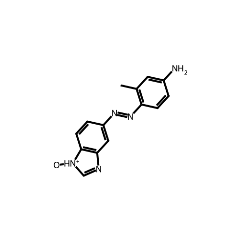 Cc1cc(N)ccc1N=Nc1ccc2c(c1)N=C[NH+]2[O-]